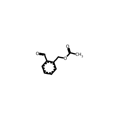 CC(=O)OCc1ccccc1[C]=O